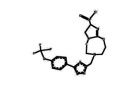 O=[N+]([O-])C1CN2CCN(Cc3nnc(-c4ccc(OC(F)(F)F)cc4)s3)CCOC2=N1